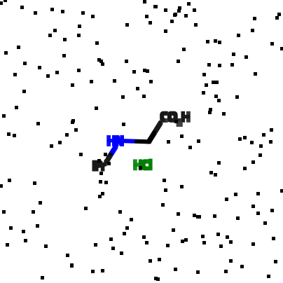 CC(C)NCC(=O)O.Cl